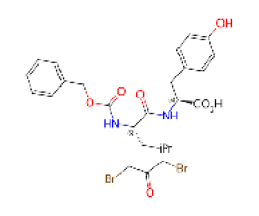 CC(C)C[C@H](NC(=O)OCc1ccccc1)C(=O)N[C@@H](Cc1ccc(O)cc1)C(=O)O.O=C(CBr)CBr